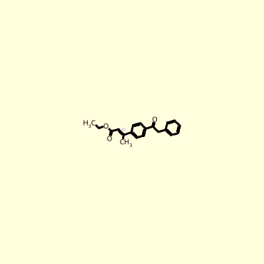 CCOC(=O)/C=C(\C)c1ccc(C(=O)Cc2ccccc2)cc1